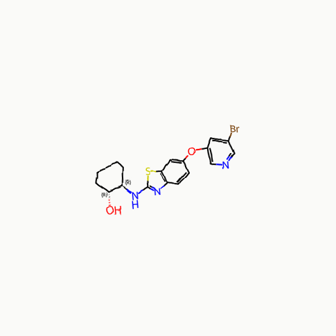 O[C@@H]1CCCC[C@H]1Nc1nc2ccc(Oc3cncc(Br)c3)cc2s1